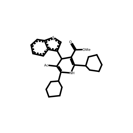 COC(=O)C1=C(C2CCCCC2)NC(C2CCCCC2)=C(C(C)=O)C1c1csc2ccccc12